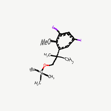 COc1c(I)cc(I)cc1C(C)(C)CO[Si](C)(C)C(C)(C)C